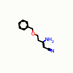 N#CC=C(N)CCOCc1ccccc1